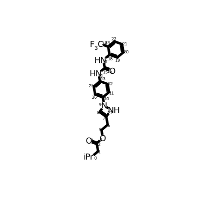 CC(C)CC(=O)OCCc1cn(-c2ccc(NC(=O)Nc3ccccc3C(F)(F)F)cc2)[nH]1